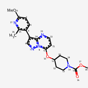 COc1ccc(-c2cnn3c(OC4CCN(C(=O)OC(C)C)CC4)ccnc23)c(C)n1